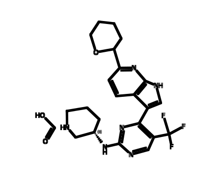 FC(F)(F)c1cnc(N[C@H]2CCCNC2)nc1-c1c[nH]c2nc(C3CCCCO3)ccc12.O=CO